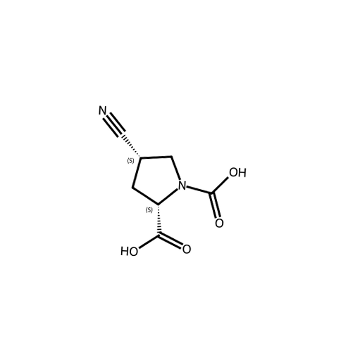 N#C[C@H]1C[C@@H](C(=O)O)N(C(=O)O)C1